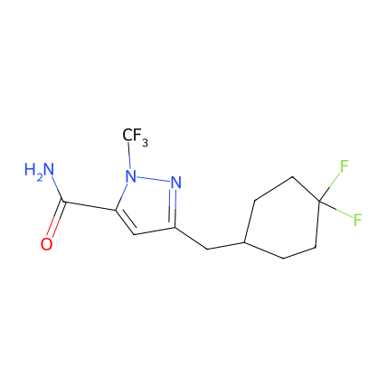 NC(=O)c1cc(CC2CCC(F)(F)CC2)nn1C(F)(F)F